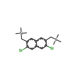 C[Si](C)(C)Cc1cc2cc(C[Si](C)(C)C)c(Br)cc2cc1Br